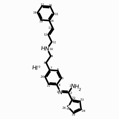 I.N/C(=N\c1ccc(CCNC/C=C/c2ccccc2)cc1)c1cccs1